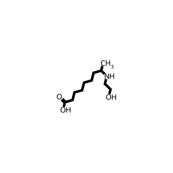 CC(CCCCCCC(=O)O)NCCO